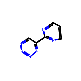 c1cnc(-c2cnnnn2)nc1